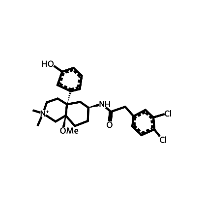 CO[C@]12CC[C@H](NC(=O)Cc3ccc(Cl)c(Cl)c3)C[C@]1(c1cccc(O)c1)CC[N+](C)(C)C2